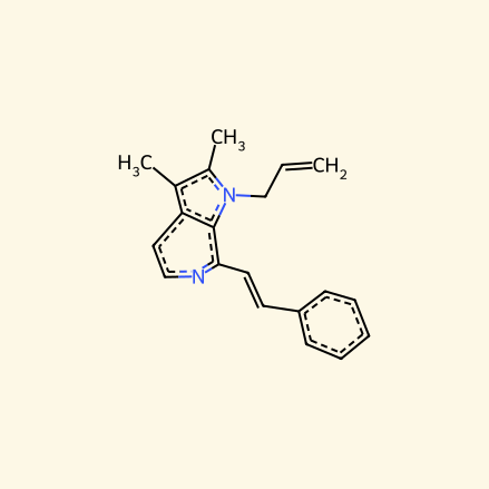 C=CCn1c(C)c(C)c2ccnc(C=Cc3ccccc3)c21